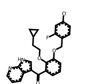 O=C(c1cccc(OCc2ccc(Cl)cc2F)c1OCCC1CC1)c1c[nH]c2ncccc12